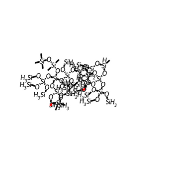 C[SiH](O[SiH2]O[SiH2]O[Si](O[SiH3])(O[SiH3])O[Si](O[Si](C)(C)O[Si](C)(C)C)(O[Si](O[SiH3])(O[SiH3])O[SiH3])O[Si](O[SiH3])(O[SiH3])O[SiH3])O[Si](O[Si](O[SiH3])(O[SiH3])O[SiH3])(O[Si](O[SiH3])(O[SiH3])O[SiH3])O[Si](O[SiH3])(O[SiH3])O[SiH2]O[SiH2]O[Si](C)(C)C